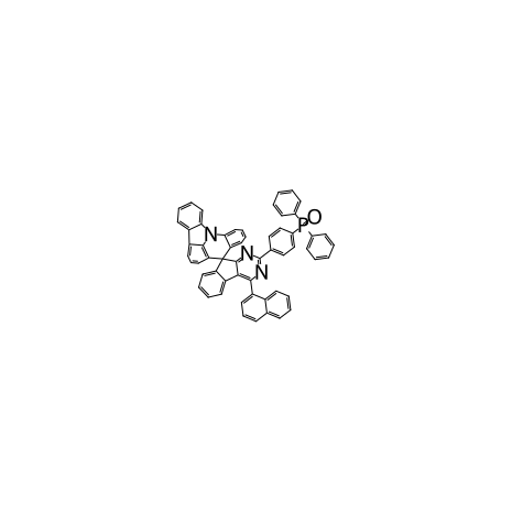 O=P(c1ccccc1)(c1ccccc1)c1ccc(-c2nc(-c3cccc4ccccc34)c3c(n2)C2(c4ccccc4-3)c3ccccc3-n3c4ccccc4c4cccc2c43)cc1